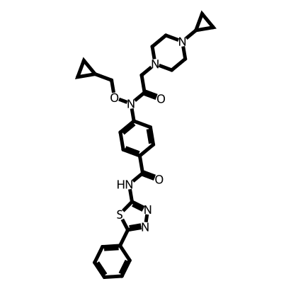 O=C(Nc1nnc(-c2ccccc2)s1)c1ccc(N(OCC2CC2)C(=O)CN2CCN(C3CC3)CC2)cc1